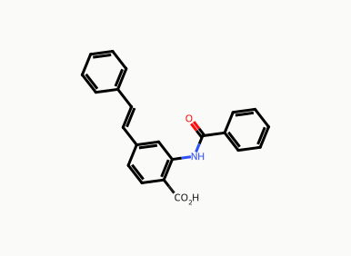 O=C(Nc1cc(/C=C/c2ccccc2)ccc1C(=O)O)c1ccccc1